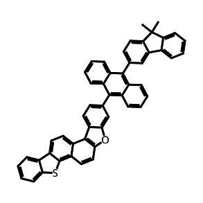 CC1(C)c2ccccc2-c2cc(-c3c4ccccc4c(-c4ccc5c(c4)oc4ccc6c(ccc7c8ccccc8sc76)c45)c4ccccc34)ccc21